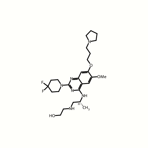 COc1cc2c(N[C@H](C)CNCCO)nc(N3CCC(F)(F)CC3)nc2cc1OCCCN1CCCC1